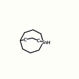 C1CC2CC[CH2][SnH]([CH2]1)[CH2]CC2